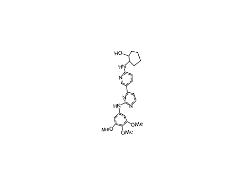 COc1cc(Nc2nccc(-c3ccc(NC4CCCCC4O)nc3)n2)cc(OC)c1OC